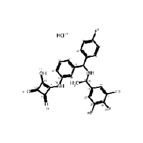 C[C@@H](NC(c1ccc(F)cc1)c1cccc(Nc2c(O)c(=O)c2=O)c1)c1cc(F)c(F)c(F)c1.Cl